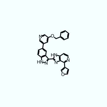 c1ccc(COc2cncc(-c3ccc4[nH]nc(-c5nc6c(-c7ccoc7)nccc6[nH]5)c4c3)c2)cc1